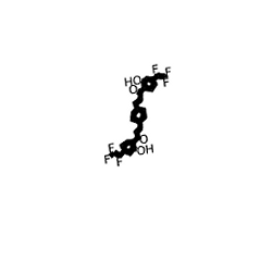 O=C(C=Cc1ccc(C=CC(=O)c2ccc(C(F)=C(F)F)cc2O)cc1)c1ccc(C(F)=C(F)F)cc1O